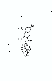 Cc1cc(Br)cc2c1O[C@H](C(F)(F)F)C(C(=O)O[C@H]1CO[C@H]3[C@@H]1OC[C@H]3O)=C2